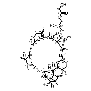 C=C1C[C@@H]2CC[C@@]3(O)C[C@@H](O)[C@@H]4CC5C4O[C@H]4CC[C@H](CC(=O)C[C@@H]6[C@@H](OC)[C@@H](C[C@H](O)COC(=O)CO)O[C@H]6C[C@H]6O[C@H](CCC6=C)CC[C@@H]1O2)O[C@@H]4[C@@H]5O3